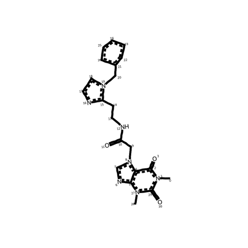 Cn1c(=O)c2c(ncn2CC(=O)NCCc2nccn2Cc2ccccc2)n(C)c1=O